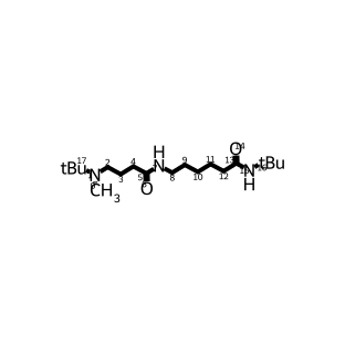 CN(CCCC(=O)NCCCCCC(=O)NC(C)(C)C)C(C)(C)C